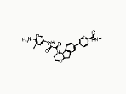 CNC(=O)c1ccc(-c2ccc3c(c2)CC2OCCN(C(=O)C(=O)Nc4cnc(N)c(C)c4)C32)cn1